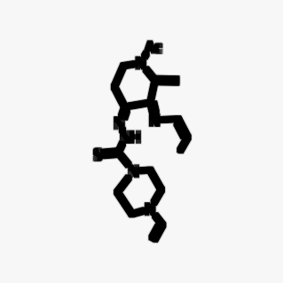 C=CN1CCN(C(=S)N/N=C2/CCN(C(C)=O)C(=C)/C2=N\C=C/C)CC1